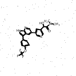 CN(C)C(=O)C(O)c1cncc(-c2cnc3[nH]cc(-c4ccc(OC(F)(F)F)cc4)c3c2)c1